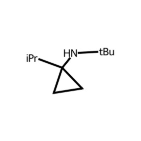 CC(C)C1(NC(C)(C)C)CC1